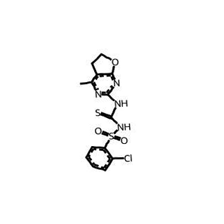 Cc1nc(NC(=S)NS(=O)(=O)c2ccccc2Cl)nc2c1CCO2